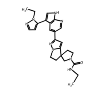 CCNC(=O)N1CCC2(CCn3nc(-c4cnc5[nH]cc(-c6ccnn6CC)c5c4)cc32)C1